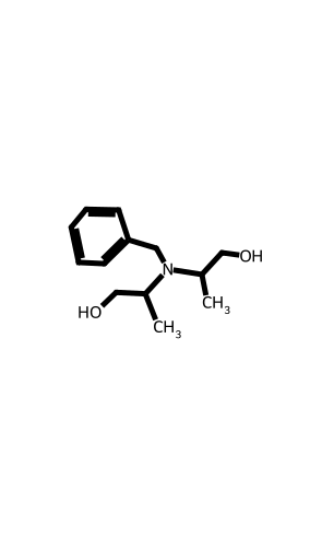 CC(CO)N(Cc1ccccc1)C(C)CO